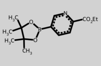 CCOC(=O)c1ccc(B2OC(C)(C)C(C)(C)O2)cn1